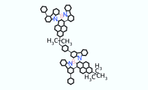 CC(C)(C)c1cc2ccc3c4c5c(c6ccc(c1)c2c36)-n1c2ccccc2c2cc(-c3ccc(CC(C)(C)c6cc7ccc8c9c%10c(c%11ccc(c6)c7c8%11)-n6c7cccc(-c8ccccc8)c7c7cccc(c76)B%10n6c7ccccc7c7cccc-9c76)cc3)cc(c21)B5n1c2ccccc2c2cc(-c3ccccc3)cc-4c21